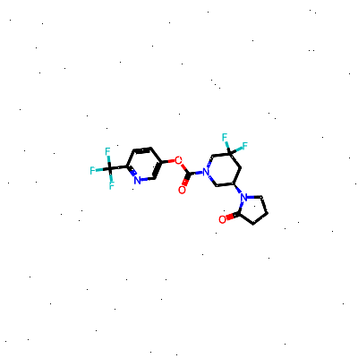 O=C(Oc1ccc(C(F)(F)F)nc1)N1C[C@H](N2CCCC2=O)CC(F)(F)C1